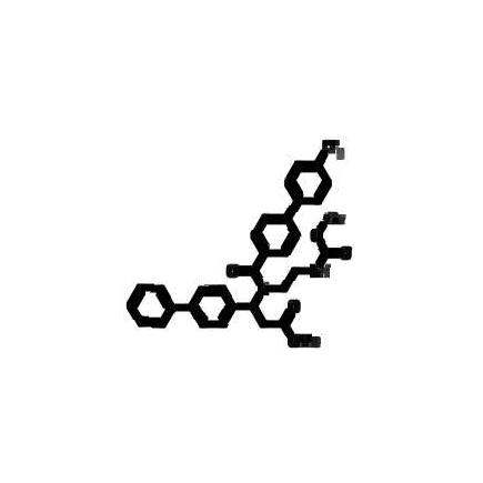 COC(=O)CC(c1ccc(-c2ccccc2)cc1)N(CCNC(=O)OC(C)(C)C)C(=O)c1ccc(-c2ccc(C(F)(F)F)cc2)cc1